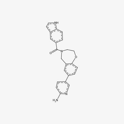 Nc1ccc(-c2ccc3c(c2)CN(C(=O)c2ccc4[nH]ccc4c2)CCO3)cn1